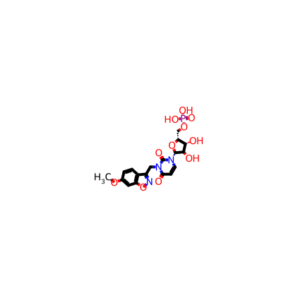 COc1ccc2c(Cn3c(=O)ccn([C@@H]4O[C@H](COP(=O)(O)O)[C@H](O)C4O)c3=O)noc2c1